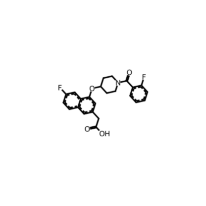 O=C(O)Cc1cc(OC2CCN(C(=O)c3ccccc3F)CC2)c2cc(F)ccc2c1